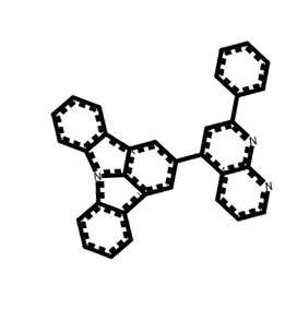 c1ccc(-c2cc(-c3cc4c5ccccc5n5c6ccccc6c(c3)c45)c3cccnc3n2)cc1